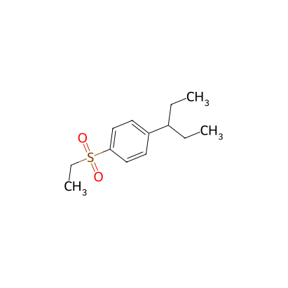 CCC(CC)c1ccc(S(=O)(=O)CC)cc1